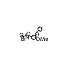 COc1ccc(-c2nc(C(=O)Br)co2)cc1OCc1ccccc1